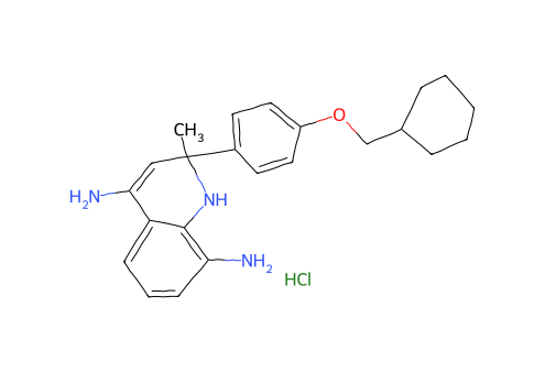 CC1(c2ccc(OCC3CCCCC3)cc2)C=C(N)c2cccc(N)c2N1.Cl